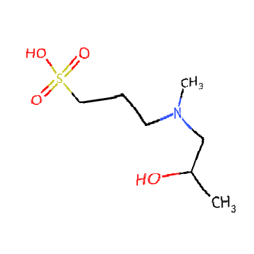 CC(O)CN(C)CCCS(=O)(=O)O